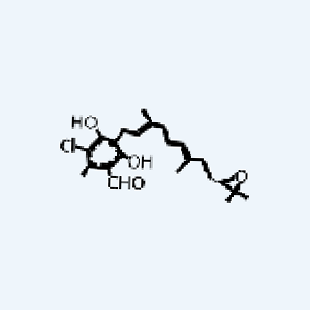 C/C(=C\Cc1c(O)c(Cl)c(C)c(C=O)c1O)CC/C=C(\C)CC[C@@H]1OC1(C)C